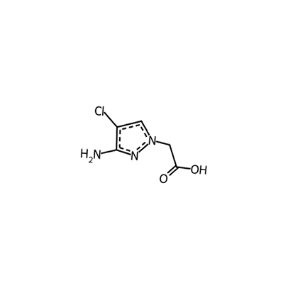 Nc1nn(CC(=O)O)cc1Cl